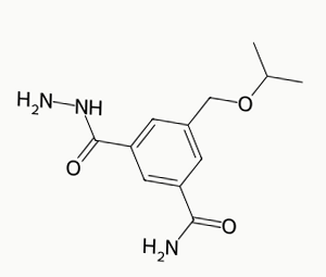 CC(C)OCc1cc(C(N)=O)cc(C(=O)NN)c1